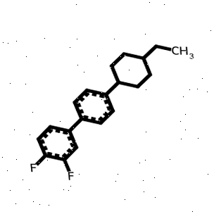 CCC1CCC(c2ccc(-c3ccc(F)c(F)c3)cc2)CC1